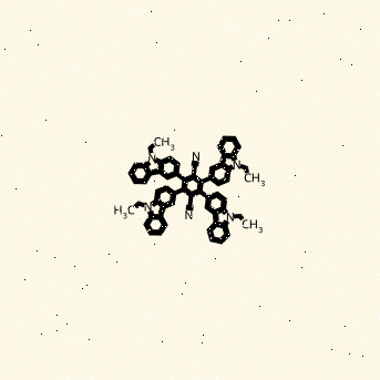 CCn1c2ccccc2c2cc(-c3c(C#N)c(-c4ccc5c(c4)c4ccccc4n5CC)c(-c4ccc5c(c4)c4ccccc4n5CC)c(C#N)c3-c3ccc4c(c3)c3ccccc3n4CC)ccc21